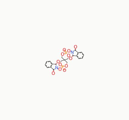 O=C1c2ccccc2C(=O)N1OP1(=O)OCC2(CO1)COP(=O)(ON1C(=O)c3ccccc3C1=O)OC2